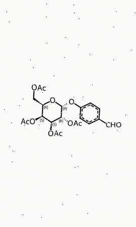 CC(=O)OC[C@H]1O[C@H](Oc2ccc(C=O)cc2)[C@H](OC(C)=O)[C@@H](OC(C)=O)[C@H]1OC(C)=O